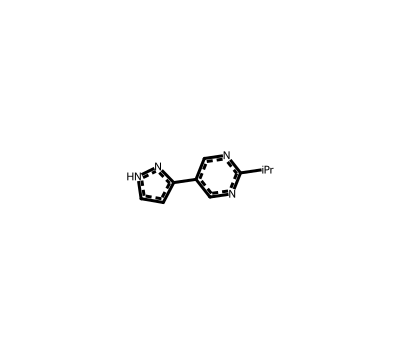 CC(C)c1ncc(-c2cc[nH]n2)cn1